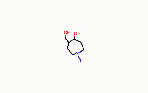 OCC1CCN(I)CCC1O